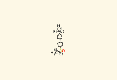 CCC(C)(CC)c1ccc(-c2ccc([S+]([O-])C(C)(CC)CC)cc2)cc1